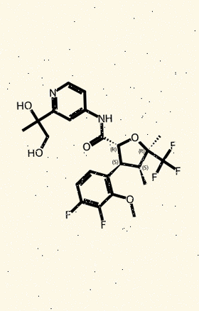 COc1c([C@H]2[C@H](C(=O)Nc3ccnc(C(C)(O)CO)c3)O[C@@](C)(C(F)(F)F)[C@H]2C)ccc(F)c1F